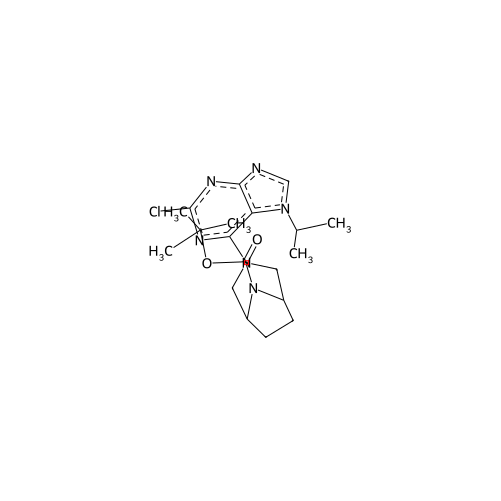 CC(C)n1cnc2nc(Cl)nc(N3CC4CCC(C3)N4C(=O)OC(C)(C)C)c21